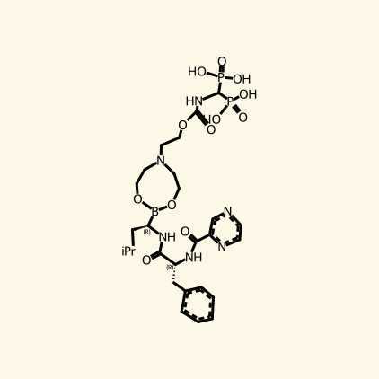 CC(C)C[C@H](NC(=O)[C@@H](Cc1ccccc1)NC(=O)c1cnccn1)B1OCCN(CCOC(=O)NC(P(=O)(O)O)P(=O)(O)O)CCO1